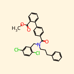 COC(=O)c1ccccc1-c1ccc(C(=O)N(CCCc2ccccc2)Cc2cc(Cl)ccc2Cl)cc1